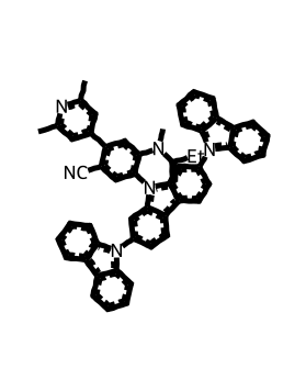 C=C(CC)N(C)c1cc(-c2cc(C)nc(C)c2)c(C#N)cc1-n1c2cc(-n3c4ccccc4c4ccccc43)ccc2c2ccc(-n3c4ccccc4c4ccccc43)cc21